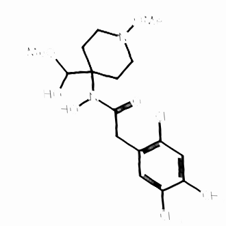 COC(O)C1(N(O)C(=O)Cc2cc(C)c(C)cc2Cl)CCN(OC)CC1